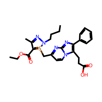 CCCCN1N=C(C)C(C(=O)OCC)=S1Cc1ccn2c(CCC(=O)O)c(-c3ccccc3)nc2n1